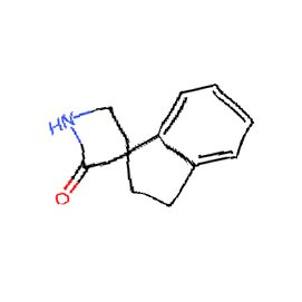 O=C1NCC12CCc1ccccc12